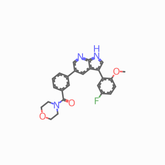 COc1ccc(F)cc1-c1c[nH]c2ncc(-c3cccc(C(=O)N4CCOCC4)c3)cc12